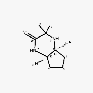 CC1(C)N[C@H]2CCC[C@H]2NC1=O